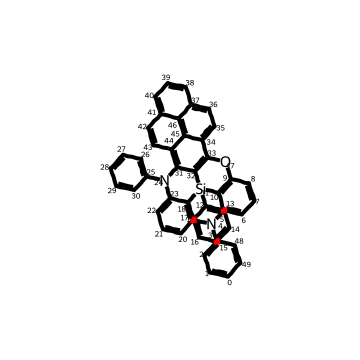 c1ccc(N2c3cccc4c3[Si]3(c5ccccc5)c5c2cccc5N(c2ccccc2)c2c3c(c3ccc5cccc6ccc2c3c56)O4)cc1